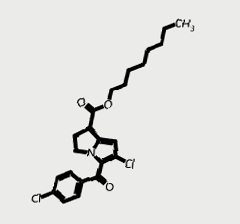 CCCCCCCCOC(=O)C1CCn2c1cc(Cl)c2C(=O)c1ccc(Cl)cc1